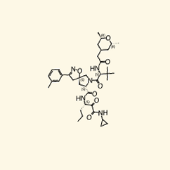 CCC[C@H](NC(=O)[C@@H]1C[C@]2(CC(c3cccc(C)c3)=NO2)CN1C(=O)[C@@H](NC(=O)CC1C[C@@H](C)O[C@H](C)C1)C(C)(C)C)C(=O)C(=O)NC1CC1